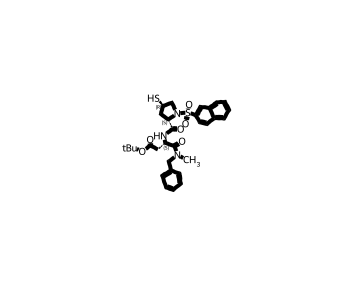 CN(Cc1ccccc1)C(=O)[C@H](CC(=O)OC(C)(C)C)NC(=O)[C@@H]1C[C@@H](S)CN1S(=O)(=O)c1ccc2ccccc2c1